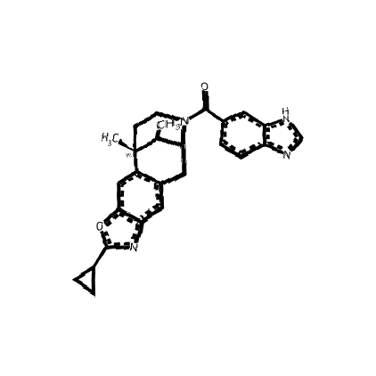 CC1C2Cc3cc4nc(C5CC5)oc4cc3[C@]1(C)CCN2C(=O)c1ccc2nc[nH]c2c1